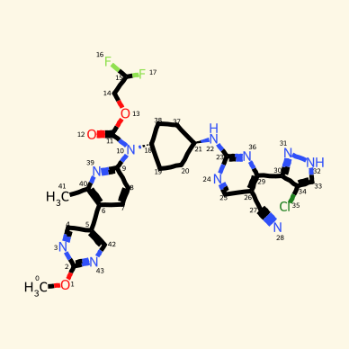 COc1ncc(-c2ccc(N(C(=O)OCC(F)F)[C@H]3CC[C@H](Nc4ncc(C#N)c(-c5n[nH]cc5Cl)n4)CC3)nc2C)cn1